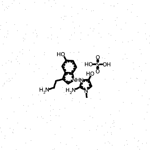 Cn1cc(O)nc1N.NCCc1c[nH]c2ccc(O)cc12.O=S(=O)(O)O